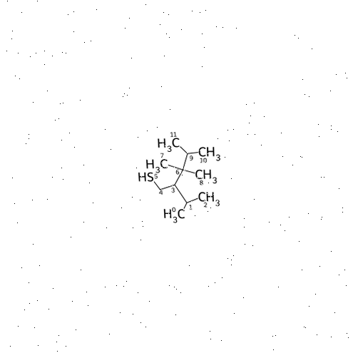 CC(C)C(CS)C(C)(C)C(C)C